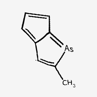 CC1=[C]C2=CC=CC2=[As]1